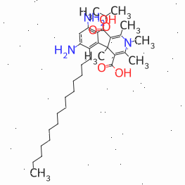 CCCCCCCCCCCCCCCc1c(N)cc(N)c(OC(C)C)c1C1(C)C(C(=O)O)=C(C)N(C)C(C)=C1C(=O)O